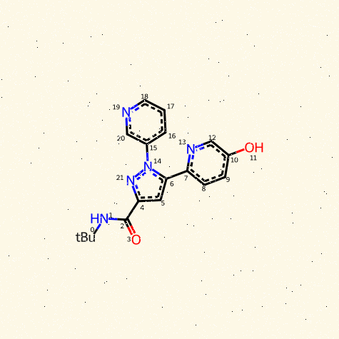 CC(C)(C)NC(=O)c1cc(-c2ccc(O)cn2)n(-c2cccnc2)n1